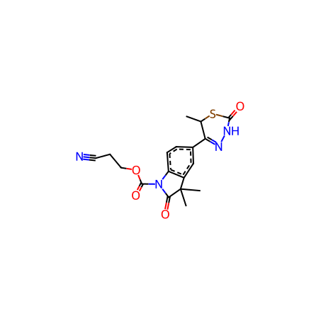 CC1SC(=O)NN=C1c1ccc2c(c1)C(C)(C)C(=O)N2C(=O)OCCC#N